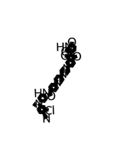 CCN(c1ccc(C#N)c(Cl)c1)[C@H]1CC[C@H](NC(=O)c2ccc(N3CCC(N4CCN(c5ccc6c(c5)C(=O)N(C5CCC(=O)NC5=O)C6=O)CC4)CC3)cc2)CC1